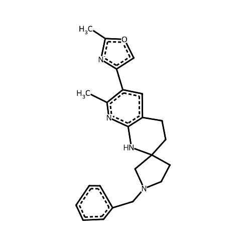 Cc1nc(-c2cc3c(nc2C)NC2(CC3)CCN(Cc3ccccc3)C2)co1